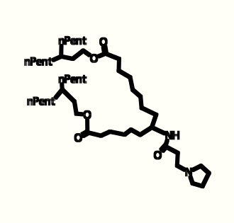 CCCCCC(CCCCC)CCOC(=O)CCCCCCCC(CCCCCC(=O)OCCC(CCCCC)CCCCC)NC(=O)CCN1CCCC1